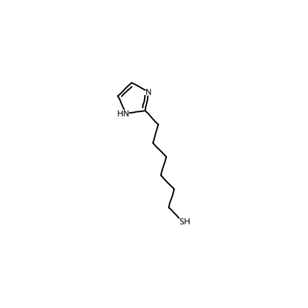 SCCCCCCc1ncc[nH]1